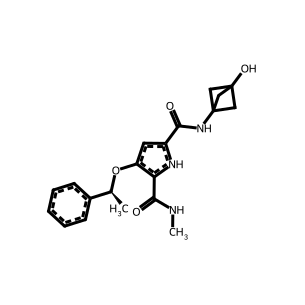 CNC(=O)c1[nH]c(C(=O)NC23CC(O)(C2)C3)cc1O[C@@H](C)c1ccccc1